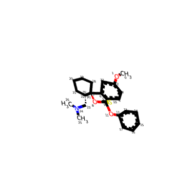 COc1cccc([C@@]2(OC(=S)Oc3ccccc3)CCCC[C@H]2CN(C)C)c1